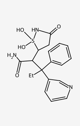 CCC(c1ccccc1)(c1cccnc1)C(C(N)=O)C1CC(=O)NS1(O)O